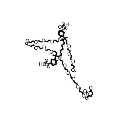 COCCOCCOCCOCC[N+]1=C(/C=C/C=C/C=C2/N(CCOCCOCCOCCOCCC(=O)ON3C(=O)CCC3=O)c3ccc(S(=O)(=O)O)cc3C2(C)CCOCCOCCOCCOC)C(C)(CCOCCOCCOCCOC)c2cc(S(=O)(=O)O)ccc21